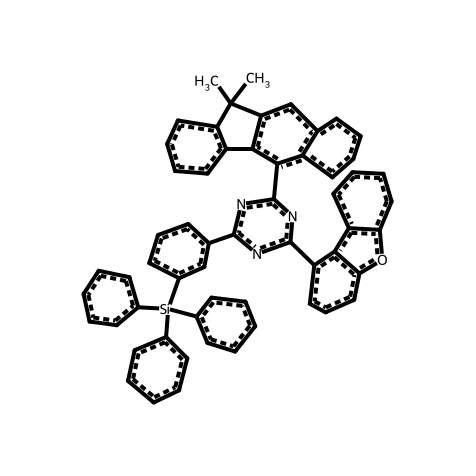 CC1(C)c2ccccc2-c2c1cc1ccccc1c2-c1nc(-c2cccc([Si](c3ccccc3)(c3ccccc3)c3ccccc3)c2)nc(-c2cccc3oc4ccccc4c23)n1